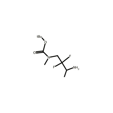 CC(N)C(F)(F)CN(C)C(=O)OC(C)(C)C